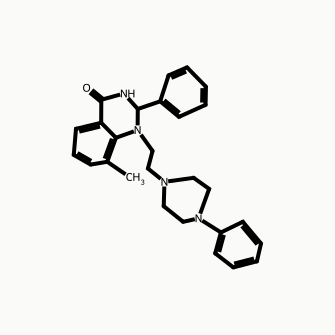 Cc1cccc2c1N(CCN1CCN(c3ccccc3)CC1)C(c1ccccc1)NC2=O